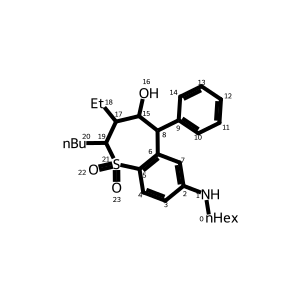 CCCCCCNc1ccc2c(c1)C(c1ccccc1)C(O)C(CC)C(CCCC)S2(=O)=O